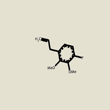 C=CCc1ccc(F)c(OC)c1OC